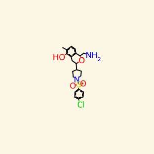 Cc1ccc2c(c1O)CC(C1CCN(S(=O)(=O)c3ccc(Cl)cc3)CC1)OC2CN